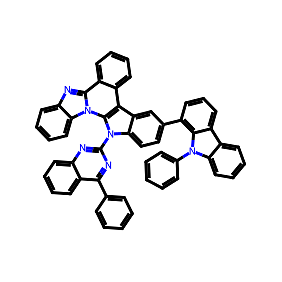 c1ccc(-c2nc(-n3c4ccc(-c5cccc6c7ccccc7n(-c7ccccc7)c56)cc4c4c5ccccc5c5nc6ccccc6n5c43)nc3ccccc23)cc1